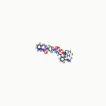 CN(C)C(=O)/C(=C\N(C=O)CC(=O)N1CCC(N2CCc3ccccc3NC2=O)CC1)c1cccc(C#N)c1